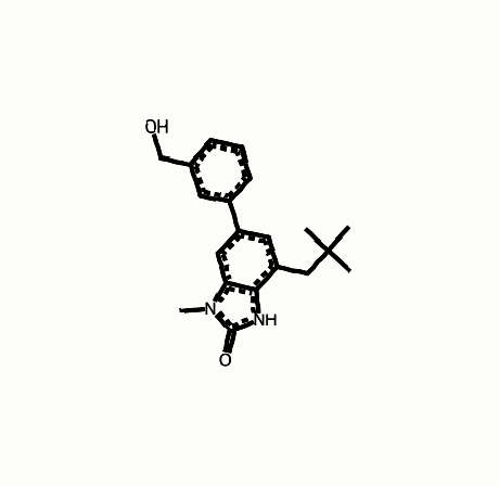 Cn1c(=O)[nH]c2c(CC(C)(C)C)cc(-c3cccc(CO)c3)cc21